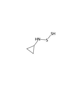 SSNC1CC1